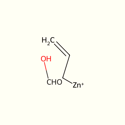 C=C[CH2][Zn+].O=[C-]O